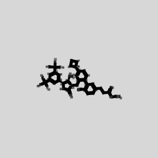 COC(=O)CCc1ccc(Cl)c(-c2ccc(N3CCC3)nc2CN2C(=O)O[C@H](c3cc(C(F)(F)F)cc(C(F)(F)F)c3)[C@@H]2C)c1